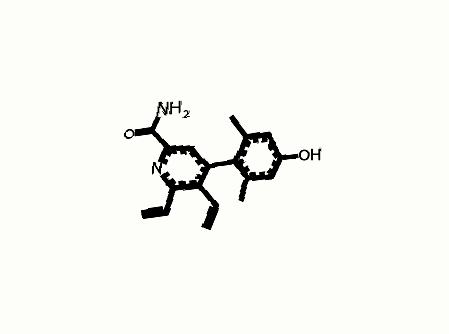 C=Cc1nc(C(N)=O)cc(-c2c(C)cc(O)cc2C)c1C=C